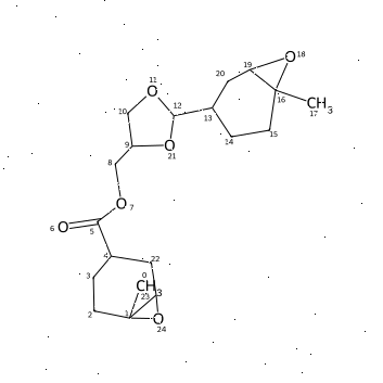 CC12CCC(C(=O)OCC3COC(C4CCC5(C)OC5C4)O3)CC1O2